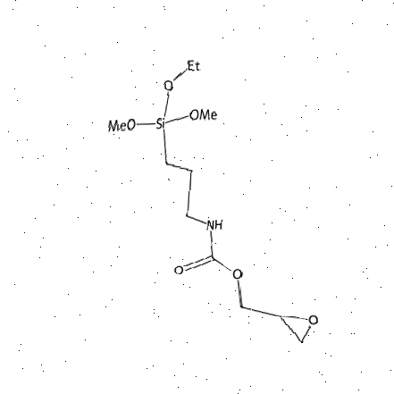 CCO[Si](CCCNC(=O)OCC1CO1)(OC)OC